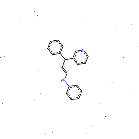 [c]1ccc(N/C=C/C(c2ccccc2)c2cccnc2)cc1